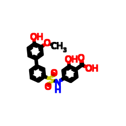 COc1cc(-c2cccc(S(=O)(=O)Nc3ccc(C(=O)O)c(O)c3)c2)ccc1O